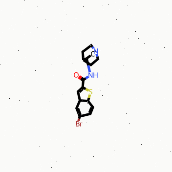 O=C(NC1CN2CCC1CC2)C1=CC2C=C(Br)C=CC2S1